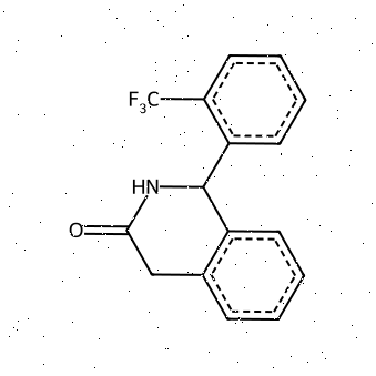 O=C1Cc2ccccc2C(c2ccccc2C(F)(F)F)N1